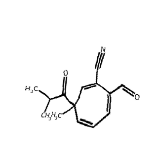 CC(C)C(=O)C1(C)C=CC=C(C=O)C(C#N)=C1